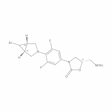 CC(=O)NC[C@H]1CN(c2cc(F)c(N3C[C@@H]4C(C(C)=O)[C@@H]4C3)c(F)c2)C(=O)O1